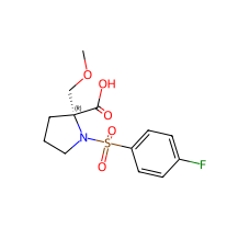 COC[C@@]1(C(=O)O)CCCN1S(=O)(=O)c1ccc(F)cc1